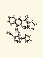 N#Cc1cnn(-c2ncsn2)c1/N=N/c1c(O)c(C(=O)N2CCSCC2)cc2ccccc12